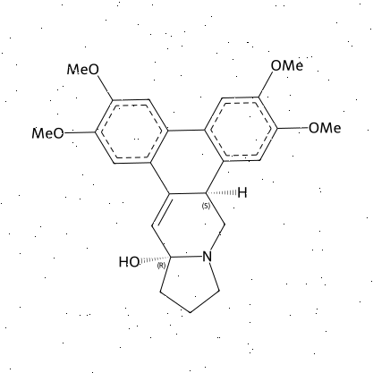 COc1cc2c(cc1OC)-c1cc(OC)c(OC)cc1[C@H]1CN3CCC[C@@]3(O)C=C21